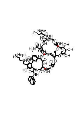 CCCCCCCNCCNCc1c(O)cc2c(c1O)-c1cc(ccc1O)[C@H]1NC(=O)[C@@H]3NC(=O)[C@H](CC(N)=O)NC(=O)[C@H](NC(=O)[C@@H](CC(C)C)NC)[C@H](O)c4ccc5c(c4)C(O)[C@H]4O[C@@H](Oc6c(cc3cc6O5)Oc3ccc(cc3Cl)[C@@H](O)[C@H](NC1=O)C(=O)N[C@@H]2C(=O)NC1C2CC3CC(C2)CC1C3)[C@H](O)[C@@H](O)[C@@H]4O